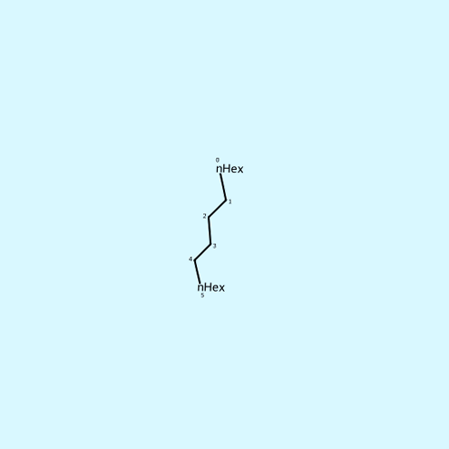 [C]CCCCCCCCCCCCCCC